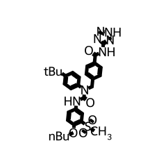 CCCCOc1ccc(NC(=O)N(Cc2ccc(C(=O)Nc3nn[nH]n3)cc2)c2ccc(C(C)(C)C)cc2)cc1S(C)(=O)=O